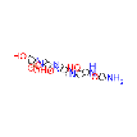 COc1cc(N=Nc2ccc(CO)cc2S(=O)(=O)O)c(C)cc1N=Nc1cc(C)c(N=Nc2ccc3cc(NOc4ccc(N)cc4)ccc3c2O)cc1C